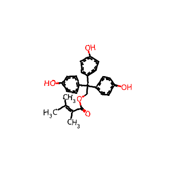 CC(C)=C(C)C(=O)OCC(c1ccc(O)cc1)(c1ccc(O)cc1)c1ccc(O)cc1